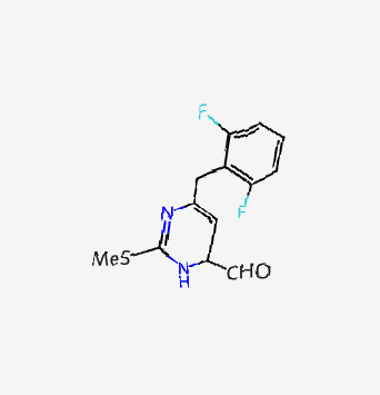 CSC1=NC(Cc2c(F)cccc2F)=CC(C=O)N1